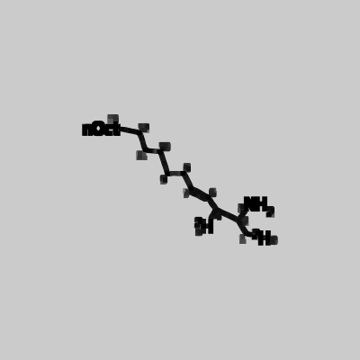 [2H]CC(N)C([2H])C=CCCCCCCCCCCCCC